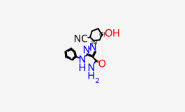 N#CC1CC[C@H](O)C[C@@H]1n1cc(C(N)=O)c(Nc2ccccc2)n1